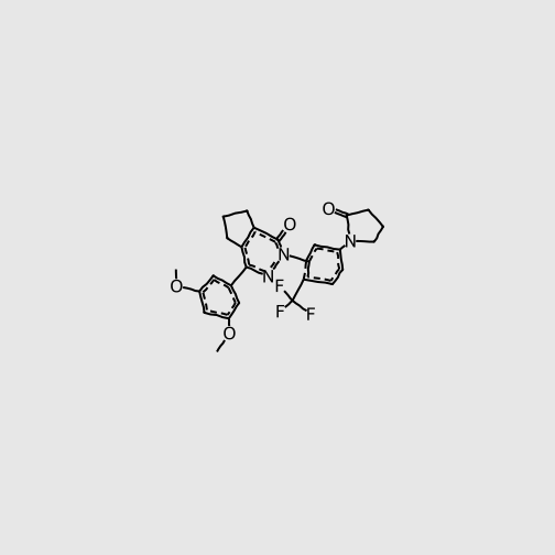 COc1cc(OC)cc(-c2nn(-c3cc(N4CCCC4=O)ccc3C(F)(F)F)c(=O)c3c2CCC3)c1